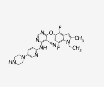 CCn1c(C)cc2c(F)c(Oc3ncnc(Nc4ccc(N5CCNCC5)cn4)c3C#N)cc(F)c21